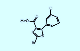 COC(=O)c1nc(Br)sc1-c1cccc(Cl)c1